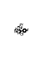 CC(C)[C@@H](C)[N]c1c(-c2c(F)cc(F)cc2F)c(Cl)nc2ncnn12